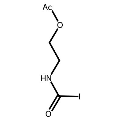 CC(=O)OCCNC(=O)I